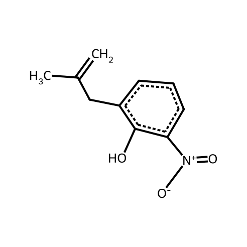 C=C(C)Cc1cccc([N+](=O)[O-])c1O